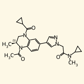 CC(=O)N1c2ccc(-c3cnn(CC(=O)N(C)C4CC4)c3)cc2N(C(=O)C2CC2)C[C@@H]1C